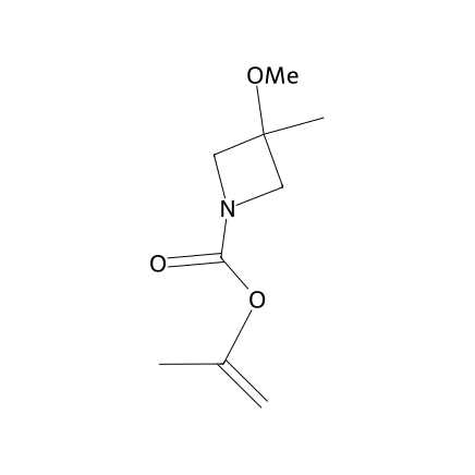 C=C(C)OC(=O)N1CC(C)(OC)C1